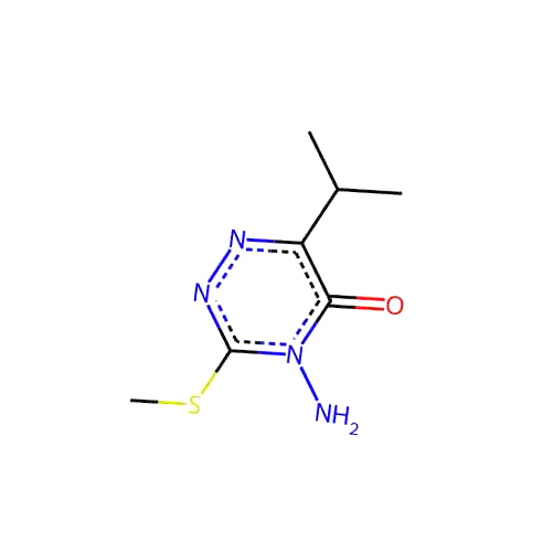 CSc1nnc(C(C)C)c(=O)n1N